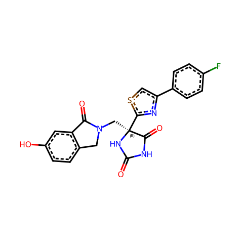 O=C1NC(=O)[C@](CN2Cc3ccc(O)cc3C2=O)(c2nc(-c3ccc(F)cc3)cs2)N1